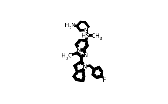 Cc1c(-c2cc3ccccc3n2Cc2ccc(F)cc2)nc2cc([SH](C)N3CCCC(N)C3)ccn12